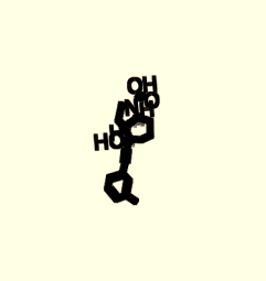 Cc1cccc(C#C[C@@]2(O)CCC[C@H]3[C@@H]2CCN3C(=O)O)c1